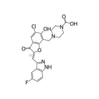 O=C1/C(=C/c2n[nH]c3ccc(F)cc23)Oc2c1cc(Cl)c(O)c2CN1CCN(C(=O)O)CC1